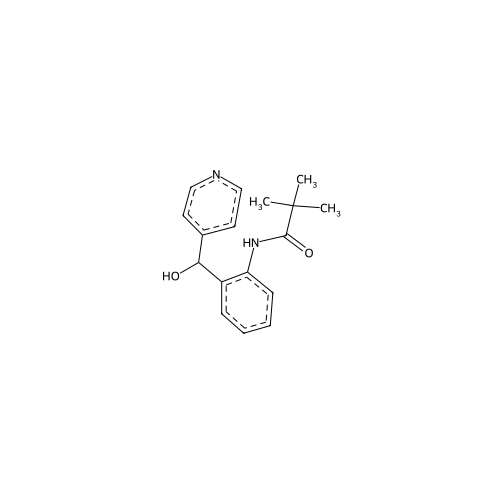 CC(C)(C)C(=O)Nc1ccccc1C(O)c1ccncc1